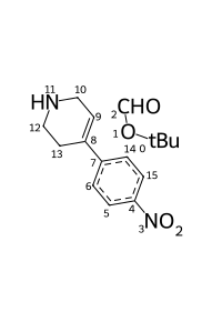 CC(C)(C)OC=O.O=[N+]([O-])c1ccc(C2=CCNCC2)cc1